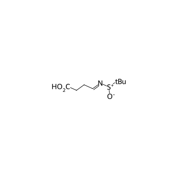 CC(C)(C)[S+]([O-])N=CCCC(=O)O